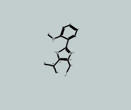 COc1ccccc1-c1nc(CI)c(C(C)C)o1